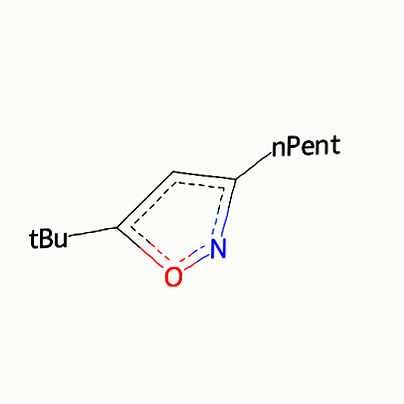 CCCCCc1cc(C(C)(C)C)on1